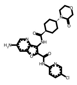 Nc1cnc2c(NC(=O)[C@H]3CC[C@H](N4CCOCC4=O)CC3)c(C(=O)Nc3ccc(Cl)cn3)oc2c1